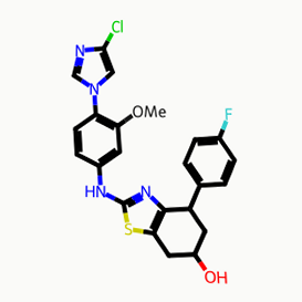 COc1cc(Nc2nc3c(s2)CC(O)CC3c2ccc(F)cc2)ccc1-n1cnc(Cl)c1